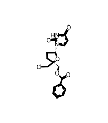 O=C(OC[C@]1(CCl)CC[C@H](n2ccc(=O)[nH]c2=O)O1)c1ccccc1